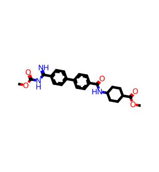 COC(=O)NC(=N)c1ccc(-c2ccc(C(=O)NC3CCC(C(=O)OC)CC3)cc2)cc1